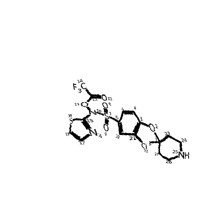 CC1(Oc2ccc(S(=O)(=O)N(OC(=O)C(F)(F)F)c3nccs3)cc2Cl)CCNCC1